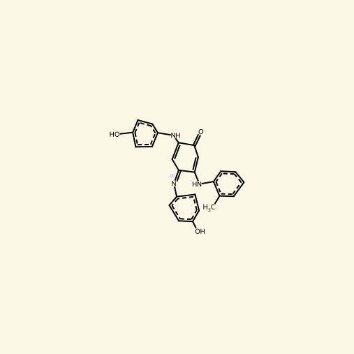 Cc1ccccc1NC1=CC(=O)C(Nc2ccc(O)cc2)=C/C1=N/c1ccc(O)cc1